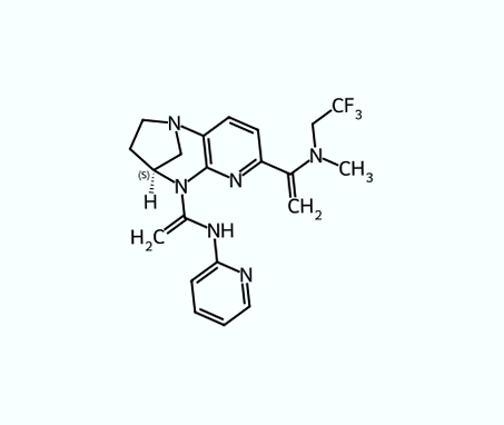 C=C(c1ccc2c(n1)N(C(=C)Nc1ccccn1)[C@H]1CCN2C1)N(C)CC(F)(F)F